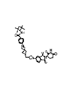 CC1(C)CC(C)(C)C1NC(=O)c1ccc(N2CC3(CN(CC4CN(c5ccc6c(c5)C(=O)N(C5CCC(=O)NC5=O)C6=O)C4)C3)C2)cc1